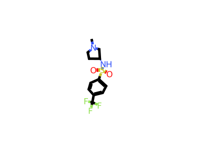 CN1CC[C@@H](NS(=O)(=O)c2ccc(C(F)(F)F)cc2)C1